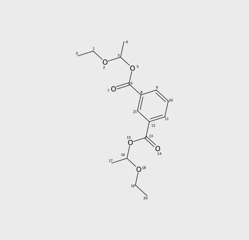 CCOC(C)OC(=O)c1cccc(C(=O)OC(C)OCC)c1